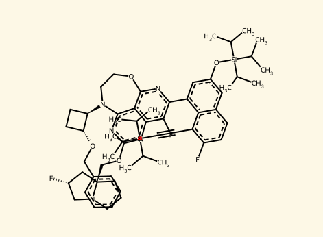 CC(C)[Si](C#Cc1c(F)ccc2cc(O[Si](C(C)C)(C(C)C)C(C)C)cc(-c3nc4c5c(nc(OC[C@@]67CCCN6C[C@H](F)C7)nc5c3F)N([C@@H]3CC[C@H]3OCc3ccccc3)CCO4)c12)(C(C)C)C(C)C